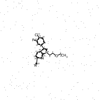 CCOCCn1cc(-c2ccc(Cl)c(F)c2)c2ccc(C#N)nc21